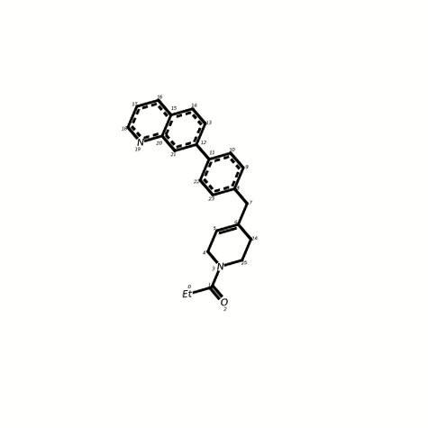 CCC(=O)N1CC=C(Cc2ccc(-c3ccc4cccnc4c3)cc2)CC1